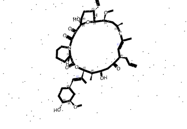 C=CC[C@@H]1/C=C(\C)C[C@H](C)C[C@H](OC)[C@H]2O[C@@](O)(C(=O)C(=O)N3CCCC[C@H]3C(=O)O[C@H](/C(C)=C/[C@@H]3CC[C@@H](O)[C@H](OC)C3)[C@H](C)C(O)CC1=O)[C@H](C)C[C@@H]2C=O